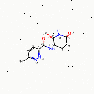 CC(C)c1ccc(C(=O)NC2CCC(=O)NC2=O)nn1